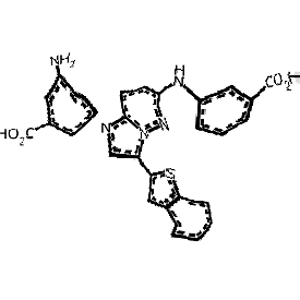 Nc1cccc(C(=O)O)c1.O=C(O)c1cccc(Nc2ccc3ncc(-c4cc5ccccc5s4)n3n2)c1